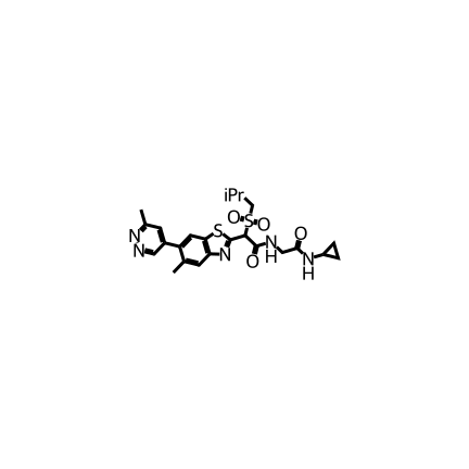 Cc1cc(-c2cc3sc(C(C(=O)NCC(=O)NC4CC4)S(=O)(=O)CC(C)C)nc3cc2C)cnn1